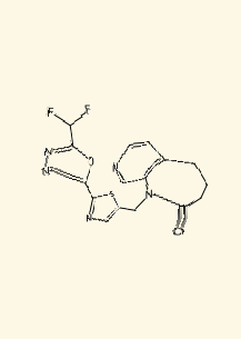 O=C1CCCc2ccncc2N1Cc1cnc(-c2nnc(C(F)F)o2)s1